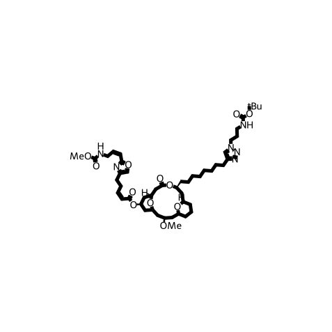 COC(=O)NC/C=C\c1nc(CC/C=C\C(=O)O[C@@H]2CC3C[C@H](OC)CC4CCC[C@@H](C[C@H](CCCCCCCCc5cn(CCCNC(=O)OC(C)(C)C)nn5)OC(=O)C[C@H](C2)O3)O4)co1